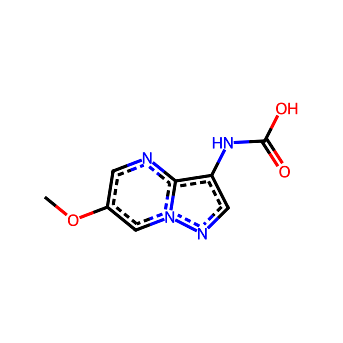 COc1cnc2c(NC(=O)O)cnn2c1